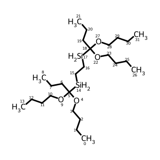 CCCCOC(CCC)(OCCCC)[SiH2]CC[SiH2]C(CCC)(OCCCC)OCCCC